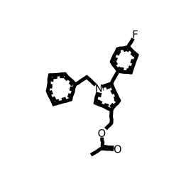 CC(=O)OCc1cc(-c2ccc(F)cc2)n(Cc2ccccc2)c1